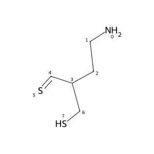 NCCC(C=S)CS